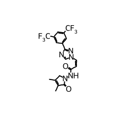 CC1=C(C)C(=O)N(NC(=O)/C=C\n2cnc(-c3cc(C(F)(F)F)cc(C(F)(F)F)c3)n2)C1